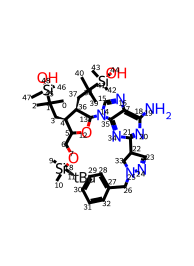 CC(C)(C[C@@H]1C(CO[Si](C)(C)C(C)(C)C)OC(n2cnc3c(N)nc(C4C=NN(Cc5ccccc5)C4)nc32)[C@@H]1CC(C)(C)[Si](C)(C)O)[Si](C)(C)O